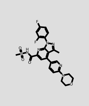 Cc1nn(-c2ccc(F)cc2F)c2nc(C(=O)NS(C)(=O)=O)cc(-c3ccc(N4CCOCC4)nc3)c12